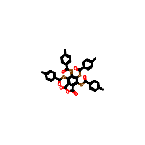 Cc1ccc(C(=O)Sc2c(SC(=O)c3ccc(C)cc3)c(SC(=O)c3ccc(C)cc3)c3c(c2SC(=O)c2ccc(C)cc2)C(=O)OC3=O)cc1